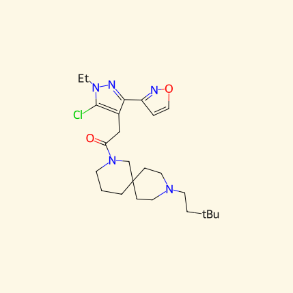 CCn1nc(-c2ccon2)c(CC(=O)N2CCCC3(CCN(CCC(C)(C)C)CC3)C2)c1Cl